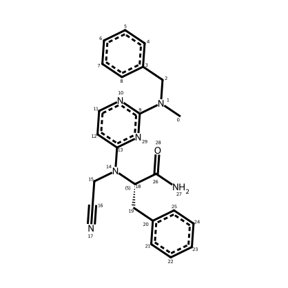 CN(Cc1ccccc1)c1nccc(N(CC#N)[C@@H](Cc2ccccc2)C(N)=O)n1